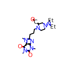 CCN(CC)N1CCN(CCCc2nc3c(c(=O)n(C)c(=O)n3C)n2C)C(=C=O)C1